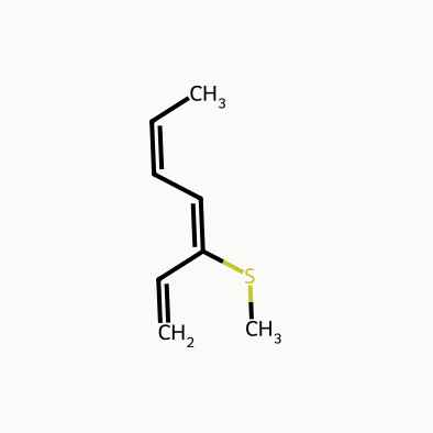 C=C/C(=C\C=C/C)SC